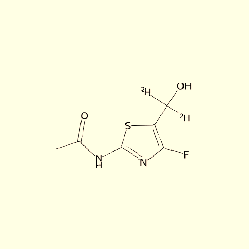 [2H]C([2H])(O)c1sc(NC(C)=O)nc1F